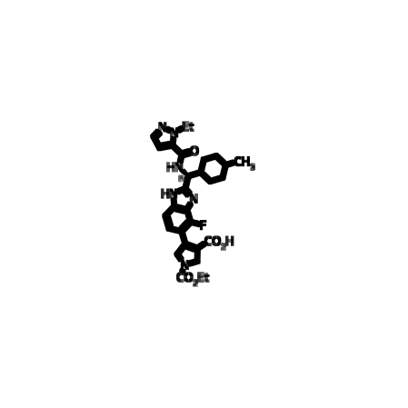 CCOC(=O)N1CC(C(=O)O)=C(c2ccc3[nH]c([C@@H](NC(=O)c4ccnn4CC)C4CCC(C)CC4)nc3c2F)C1